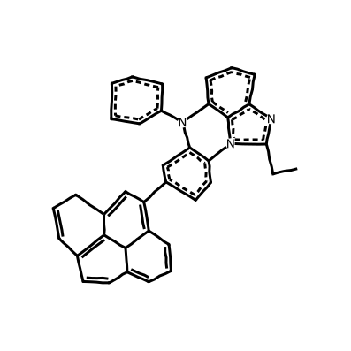 CCc1nc2cccc3c2n1-c1ccc(C2=C4C=CC=C5C=CC6=C(C(=C2)CC=C6)C54)cc1N3c1ccccc1